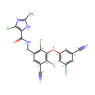 Cc1nc(Cl)c(C(=O)NCc2cc(C#N)c(Cl)c(Oc3cc(Cl)cc(C#N)c3)c2F)[nH]1